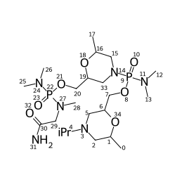 CC1CN(C(C)C)CC(COP(=O)(N(C)C)N2CC(C)OC(COP(=O)(N(C)C)N(C)CC(N)=O)C2)O1